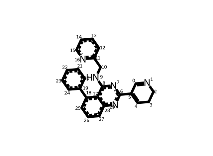 C1=NCCC=C1c1nc(NCc2ccccn2)c2c(-c3ccccc3)cccc2n1